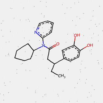 CCC(CC(=O)N(c1ccccn1)C1CCCCC1)c1ccc(O)c(O)c1